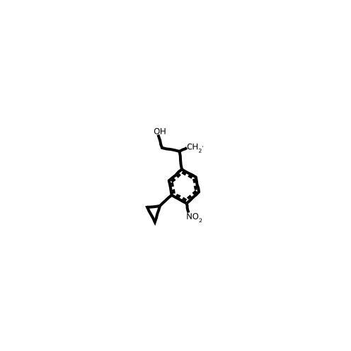 [CH2]C(CO)c1ccc([N+](=O)[O-])c(C2CC2)c1